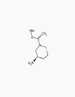 C=C(OC(C)(C)C)N1CCC[C@@H](N)C1